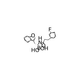 O=C(CCc1cccc(F)c1)N[C@@H](Cc1coc2ccccc12)B(O)O